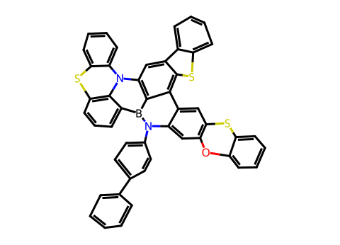 c1ccc(-c2ccc(N3B4c5cccc6c5N(c5ccccc5S6)c5cc6c(sc7ccccc76)c(c54)-c4cc5c(cc43)Oc3ccccc3S5)cc2)cc1